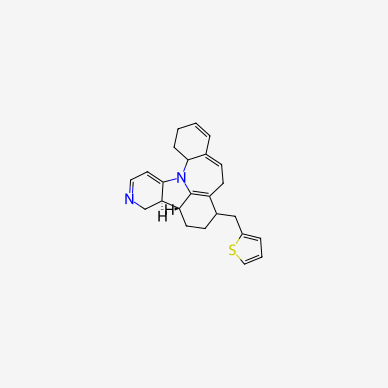 C1=CC2=CCC3=C4[C@H](CCC3Cc3cccs3)[C@H]3CN=CC=C3N4C2CC1